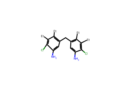 CCc1c(Cc2cc(N)c(Cl)c(CC)c2CC)cc(N)c(Cl)c1CC